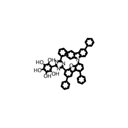 Oc1c(O)c(O)c(-c2nc(-c3ccccc3)nc(-c3cc(-c4ccccc4)cc4c3oc3c(-n5c6ccccc6c6cc(-c7ccccc7)ccc65)ccc(-c5ccccc5)c34)n2)c(O)c1O